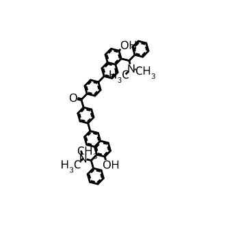 CN(C)C(c1ccccc1)c1c(O)ccc2cc(-c3ccc(C(=O)c4ccc(-c5ccc6c(C(c7ccccc7)N(C)C)c(O)ccc6c5)cc4)cc3)ccc12